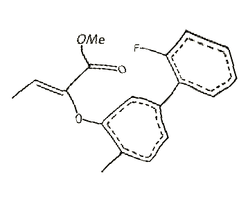 C/C=C(\Oc1cc(-c2ccccc2F)ccc1C)C(=O)OC